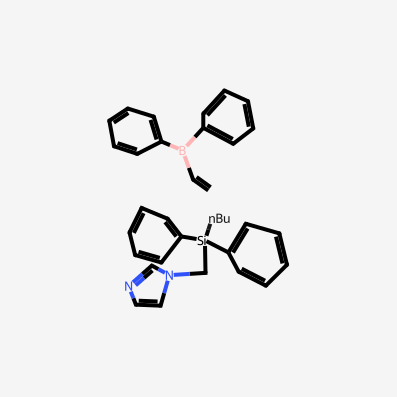 C=CB(c1ccccc1)c1ccccc1.CCCC[Si](Cn1ccnc1)(c1ccccc1)c1ccccc1